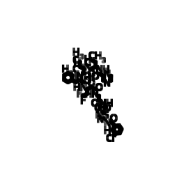 CCC(C)C(NC(=O)C(CC(C)C)NC(=O)c1cnccn1)C(=O)NC(CC1CCCCC1)C(=O)NC(CC(F)F)C(=O)C(=O)NCC(=O)NS(=O)(=O)c1nnc(NC(=O)c2cccc(Cl)c2)s1